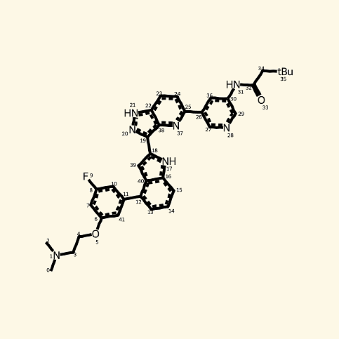 CN(C)CCOc1cc(F)cc(-c2cccc3[nH]c(-c4n[nH]c5ccc(-c6cncc(NC(=O)CC(C)(C)C)c6)nc45)cc23)c1